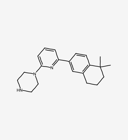 CC1(C)CCCc2cc(-c3cccc(N4CCNCC4)n3)ccc21